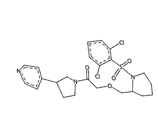 O=C(COCC1CCCCN1S(=O)(=O)c1c(Cl)cccc1Cl)N1CCC(c2ccncc2)C1